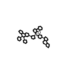 c1ccc(-c2c(-c3ccccc3)c3cc(-c4cccc(N(c5ccc(-c6cccc7c6ccc6ccccc67)cc5)c5cccc6c5oc5ccccc56)c4)ccc3c3ccccc23)cc1